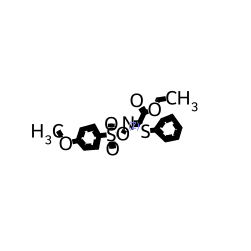 CCOC(=O)/C(=N/OS(=O)(=O)c1ccc(OC)cc1)Sc1ccccc1